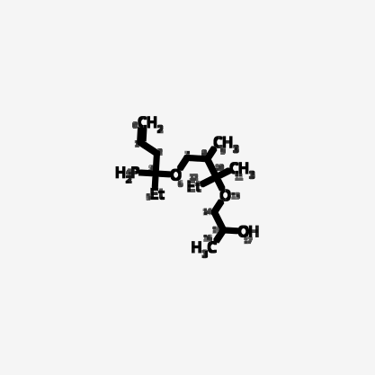 C=CCC(P)(CC)OCC(C)C(C)(CC)OCC(C)O